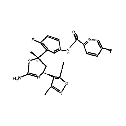 Cc1noc(C)c1[C@@H]1C[C@@](C)(c2cc(NC(=O)c3ccc(F)cn3)ccc2F)SC(N)=N1